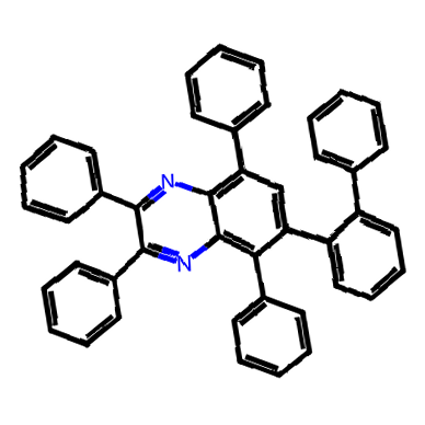 c1ccc(-c2ccccc2-c2cc(-c3ccccc3)c3nc(-c4ccccc4)c(-c4ccccc4)nc3c2-c2ccccc2)cc1